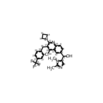 Cc1ncc(C(O)c2ccc3nc(N4CCC4)c(Cc4ccc(C(F)(F)F)cc4)c(Cl)c3c2)n1C